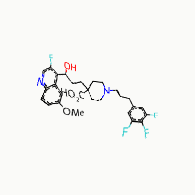 COc1ccc2ncc(F)c([C@@H](O)CCC3(C(=O)O)CCN(CCCc4cc(F)c(F)c(F)c4)CC3)c2c1